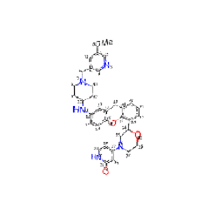 COc1cncc(CN2CCC(Nc3ccc4c(c3)Cc3cccc(C5CN(c6cc[nH]c(=O)c6)CCO5)c3O4)CC2)c1